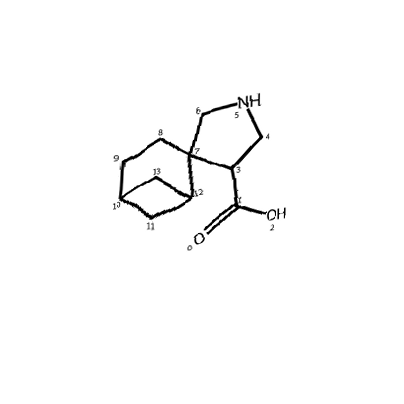 O=C(O)C1CNCC12CCC1CC2C1